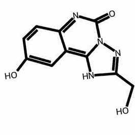 O=c1nc2ccc(O)cc2c2[nH]c(CO)nn12